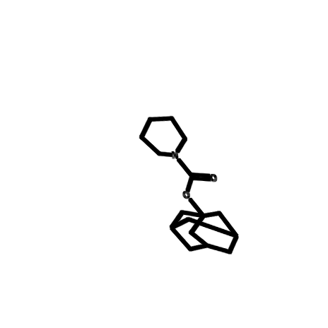 O=C(OC12CC3CC(CC(C3)C1)C2)N1CCCCC1